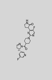 O=C1NCCC1c1nc(N2CCC(C(=O)N3N=CC[C@H]3c3cncc(F)c3)CC2)ncc1F